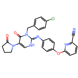 N#Cc1cccc(Oc2ccc(/N=c3\[nH]cc(N4CCCC4=O)c(=O)n3Cc3ccc(Cl)cc3)cc2)n1